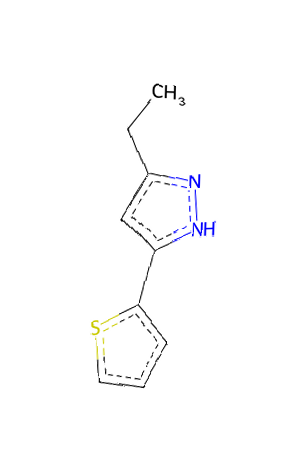 CCc1cc(-c2cccs2)[nH]n1